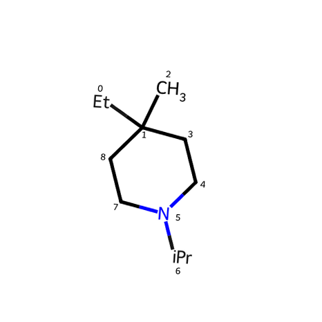 CCC1(C)CCN(C(C)C)CC1